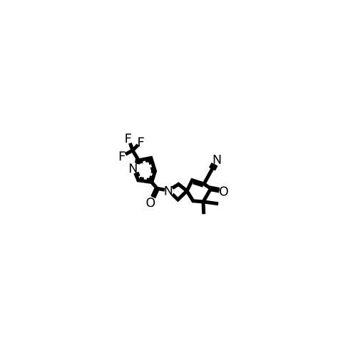 CC1(C)CC2(C=C(C#N)C1=O)CN(C(=O)c1ccc(C(F)(F)F)nc1)C2